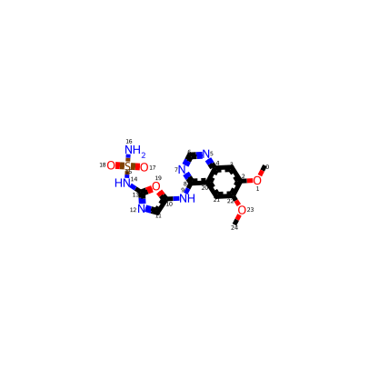 COc1cc2ncnc(Nc3cnc(NS(N)(=O)=O)o3)c2cc1OC